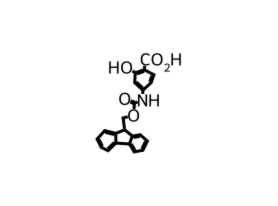 O=C(Nc1ccc(C(=O)O)c(O)c1)OCC1c2ccccc2-c2ccccc21